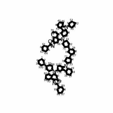 c1ccc(-c2ccc(N(c3ccc4c(c3)c3ccccc3n4-c3ccc(-c4cccc(-c5ccc(N(c6ccc7c(c6)c6ccccc6n7-c6ccccc6)c6cc7nc(-c8ccccc8)oc7c7ccccc67)cc5)c4)cc3)c3cc4oc(-c5ccccc5)nc4c4ccccc34)cc2)cc1